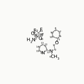 CN(CCOc1ccccc1)c1ccccn1.NS(=O)(=O)C(F)(F)F